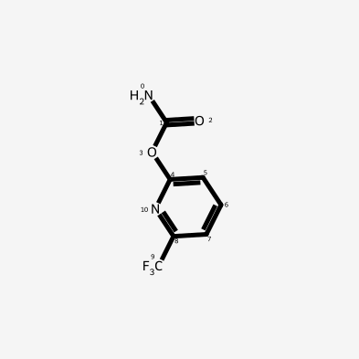 NC(=O)Oc1cccc(C(F)(F)F)n1